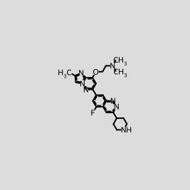 Cc1cn2nc(-c3cc(F)c4cc(C5CCNCC5)nnc4c3)cc(OCCN(C)C)c2n1